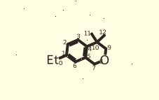 CCc1ccc2c(c1)COCC2(C)C